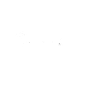 CCCCC1N(CC2CCCCC2)C(=O)OC12CCN(C1CCN(C(=O)c3cccn3C)CC1)CC2